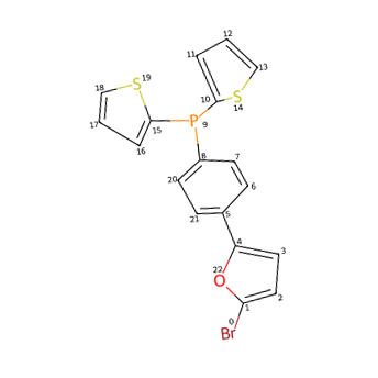 Brc1ccc(-c2ccc(P(c3cccs3)c3cccs3)cc2)o1